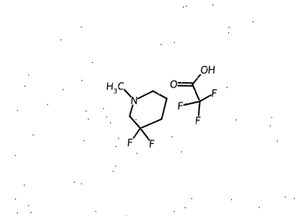 CN1CCCC(F)(F)C1.O=C(O)C(F)(F)F